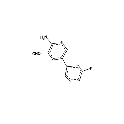 Nc1ncc(-c2cccc(F)c2)cc1C=O